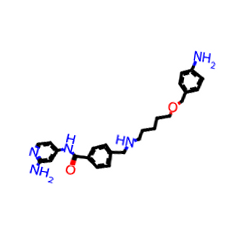 Nc1ccc(COCCCCCNCc2ccc(C(=O)Nc3ccnc(N)c3)cc2)cc1